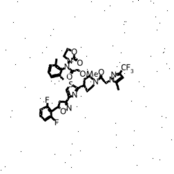 COCC(=O)N(c1c(C)cccc1C)N1CCOC1=O.Cc1cc(C(F)(F)F)nn1CC(=O)N1CCC(c2nc(C3=NOC(c4c(F)cccc4F)C3)cs2)CC1